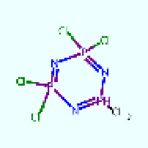 C[PH]1=NP(Cl)(Cl)=NP(Cl)(Cl)=N1